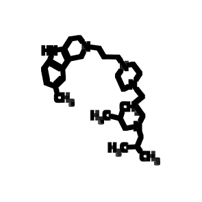 Cc1ccc2[nH]c3c(c2c1)CN(CCCN1CCN(CCCN(CC(C)C)CC(C)C)CC1)CC3